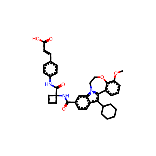 COc1cccc2c1OCCn1c-2c(C2CCCCC2)c2ccc(C(=O)NC3(C(=O)Nc4ccc(C=CC(=O)O)cc4)CCC3)cc21